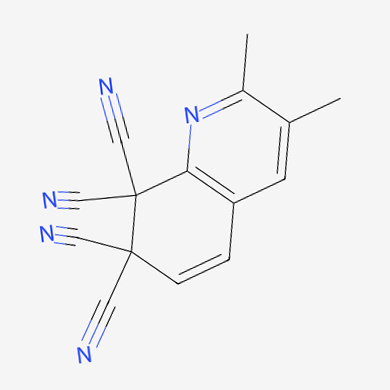 Cc1cc2c(nc1C)C(C#N)(C#N)C(C#N)(C#N)C=C2